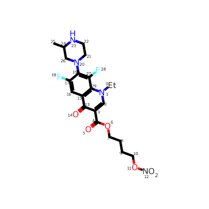 CCn1cc(C(=O)OCCCCO[N+](=O)[O-])c(=O)c2cc(F)c(N3CCNC(C)C3)c(F)c21